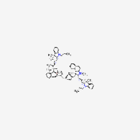 C=C(/C=C/C=C1/N(CCC)c2ccccc2C1(C)C)C(C)(Cc1ccc(Cc2ccc(CC3(C)C(/C=C/C=C4/N(CCC)c5ccccc5C4(C)C)=[N+](C)c4ccc5ccccc5c43)cc2)cc1)c1c(C)ccc2ccccc12